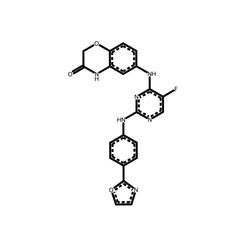 O=C1COc2ccc(Nc3nc(Nc4ccc(-c5ncco5)cc4)ncc3F)cc2N1